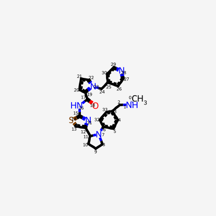 CNCc1ccc(N2CCCC2c2csc(NC(=O)c3cccn3Cc3ccncc3)n2)cc1